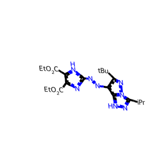 CCOC(=O)c1nc(N=Nc2c(C(C)(C)C)nn3c(C(C)C)n[nH]c23)[nH]c1C(=O)OCC